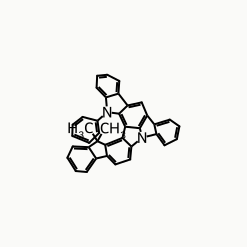 CC1(C)c2ccccc2-c2ccc3c(c21)c1c2c(cc4c5ccccc5n3c41)c1ccccc1n2-c1ccccc1